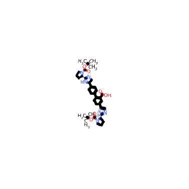 CC(C)(C)OC(=O)N1CCC[C@H]1C1=NCC(c2ccc(-c3ccc(-c4cnc([C@@H]5CCCN5C(=O)OC(C)(C)C)[nH]4)cc3C(=O)O)cc2)N1